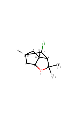 FC(F)(F)C1(C(F)(F)F)OC2C[C@H]3C[C@@H]2C1C3Cl